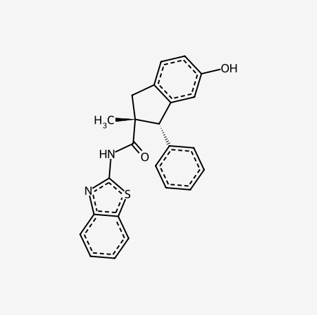 C[C@@]1(C(=O)Nc2nc3ccccc3s2)Cc2ccc(O)cc2[C@@H]1c1ccccc1